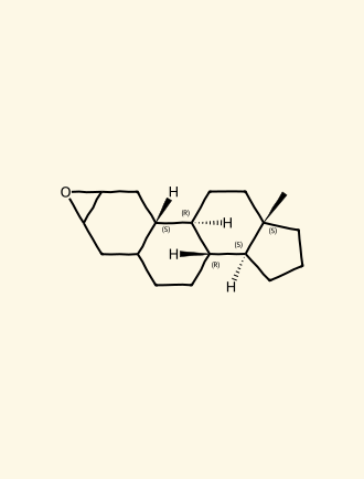 C[C@@]12CCC[C@H]1[C@@H]1CCC3CC4OC4C[C@@H]3[C@H]1CC2